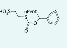 CCCCCC(OC(=O)SCCS(=O)(=O)O)c1ccccc1